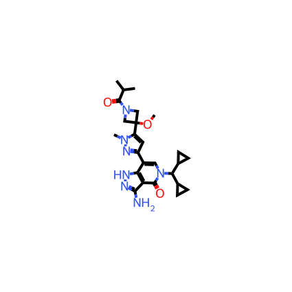 COC1(c2cc(-c3cn(C(C4CC4)C4CC4)c(=O)c4c(N)n[nH]c34)nn2C)CN(C(=O)C(C)C)C1